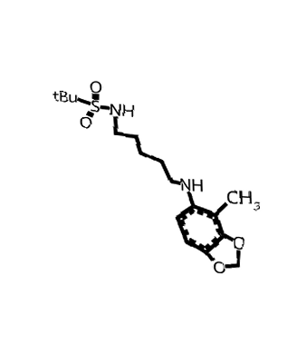 Cc1c(NCCCCCNS(=O)(=O)C(C)(C)C)ccc2c1OCO2